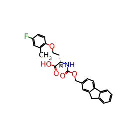 Cc1cc(F)ccc1OCC[C@H](NC(=O)OCc1ccc2c(c1)Cc1ccccc1-2)C(=O)O